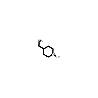 NC[C]1CC[S+]([O-])CC1